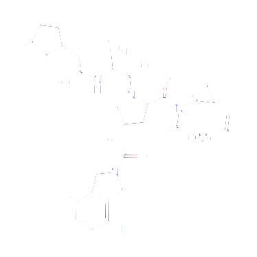 C=CC1CC1N(C(=O)OC)C(=O)C1CC(OC(=O)N2Cc3cccc(F)c3C2)CN1C(=O)C(NC(=O)OC1CCCC1)C(C)(C)C